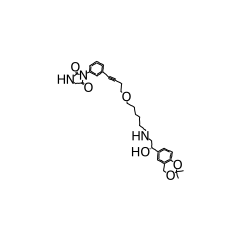 CC1(C)OCc2cc([C@H](O)CNCCCCCCOCCC#Cc3cccc(N4C(=O)CNC4=O)c3)ccc2O1